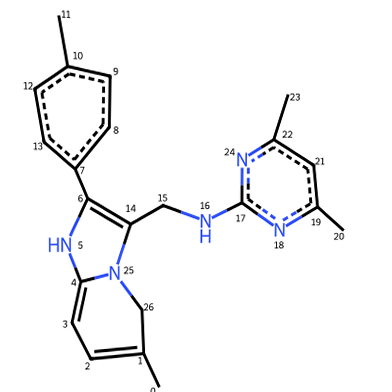 CC1=CC=C2NC(c3ccc(C)cc3)=C(CNc3nc(C)cc(C)n3)N2C1